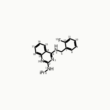 CC(C)Nc1nc(NCc2ccccc2F)c2ccccc2n1